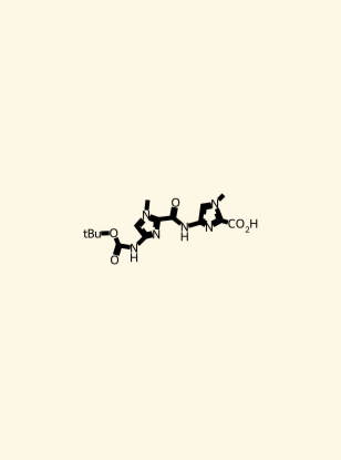 Cn1cc(NC(=O)c2nc(NC(=O)OC(C)(C)C)cn2C)nc1C(=O)O